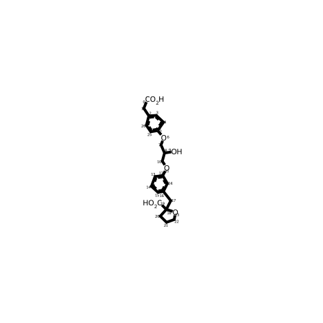 O=C(O)Cc1ccc(OCC(O)COc2cccc(CC3(C(=O)O)CCCO3)c2)cc1